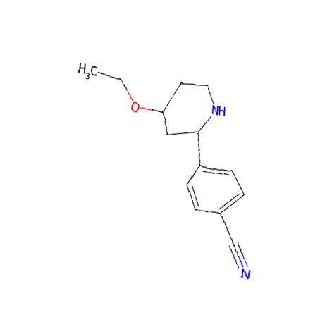 CCOC1CCNC(c2ccc(C#N)cc2)C1